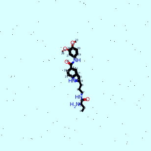 CCC(N)C(=O)NCCCc1cc2cc(C(=O)Nc3ccc(OC)c(OC)c3)ccc2[nH]1